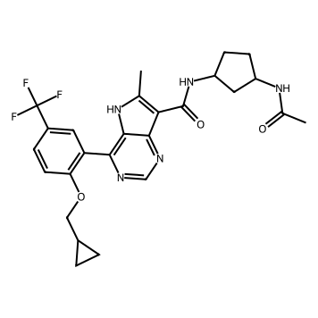 CC(=O)NC1CCC(NC(=O)c2c(C)[nH]c3c(-c4cc(C(F)(F)F)ccc4OCC4CC4)ncnc23)C1